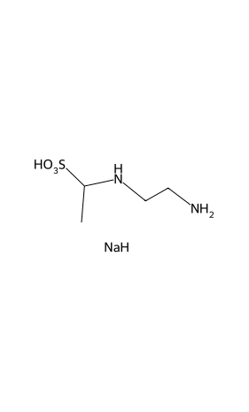 CC(NCCN)S(=O)(=O)O.[NaH]